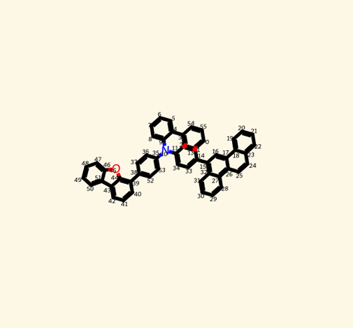 c1ccc(-c2ccccc2N(c2ccc(-c3cc4c5ccccc5ccc4c4ccccc34)cc2)c2ccc(-c3cccc4c3oc3ccccc34)cc2)cc1